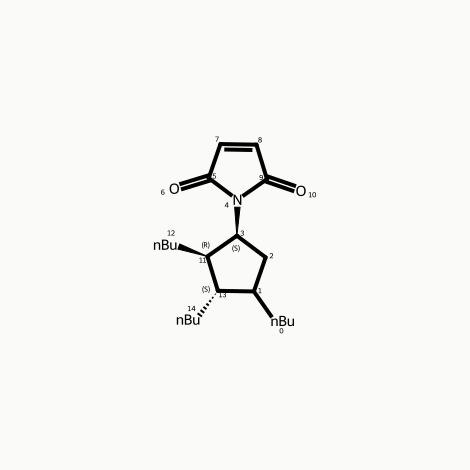 CCCCC1C[C@H](N2C(=O)C=CC2=O)[C@H](CCCC)[C@H]1CCCC